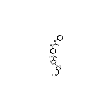 NCc1cnn(-c2cnc(S(=O)(=O)c3ccc(NC(=O)Oc4ccccc4)cc3)s2)c1